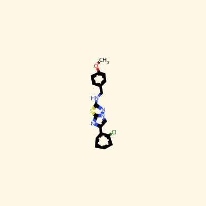 COc1ccc(CNc2nn3cc(-c4ccccc4Cl)nc3s2)cc1